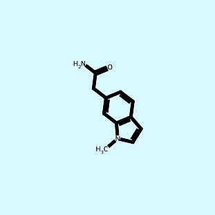 Cn1ccc2ccc(CC(N)=O)cc21